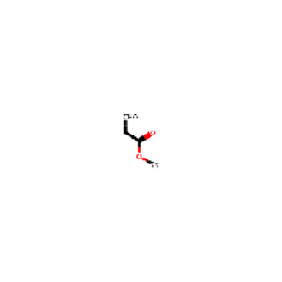 CCOC(=O)C[C]=O